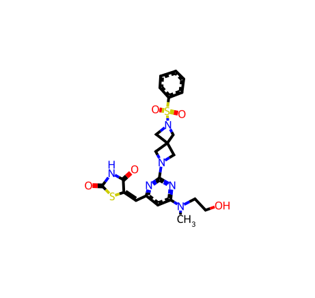 CN(CCO)c1cc(C=C2SC(=O)NC2=O)nc(N2CC3(C2)CN(S(=O)(=O)c2ccccc2)C3)n1